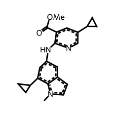 COC(=O)c1cc(C2CC2)cnc1Nc1cc(C2CC2)c2c(ccn2C)c1